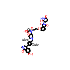 COc1cc(-c2cn(C)c(=O)c3cc(O)ccc23)cc(OC)c1CN1CCC2(CC1)CN(C(=O)CCCOc1cccc3c1C(=O)N(C1CCC(=O)NC1=O)C3=O)CCO2.O=CO